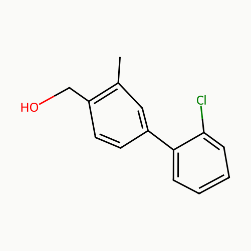 Cc1cc(-c2ccccc2Cl)ccc1CO